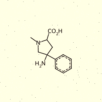 CN1CC(N)(c2ccccc2)CC1C(=O)O